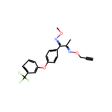 C#CCON=C(C)C(=NOC)c1ccc(Oc2cccc(C(F)(F)F)c2)cc1